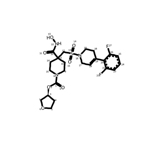 O=C(O[C@H]1CCOC1)N1CCC(CS(=O)(=O)N2CC=C(c3c(F)cccc3F)CC2)(C(=O)NO)CC1